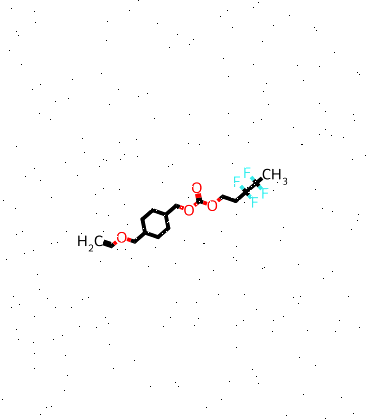 C=COCC1CCC(COC(=O)OCCC(F)(F)C(C)(F)F)CC1